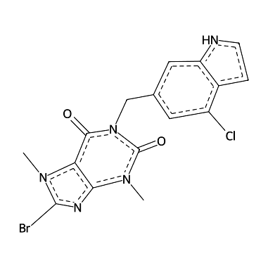 Cn1c(Br)nc2c1c(=O)n(Cc1cc(Cl)c3cc[nH]c3c1)c(=O)n2C